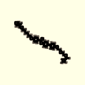 CC(OCCOCCOc1ccc(-c2ccc(OC(=O)c3ccc(OCCCCCCOCC4(C)COC4)cc3)cc2)cc1)=C1CCC1